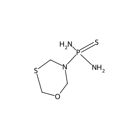 NP(N)(=S)N1COCSC1